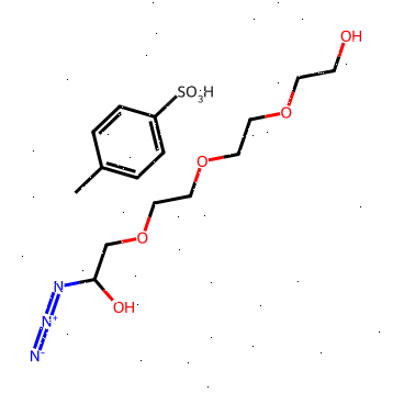 Cc1ccc(S(=O)(=O)O)cc1.[N-]=[N+]=NC(O)COCCOCCOCCO